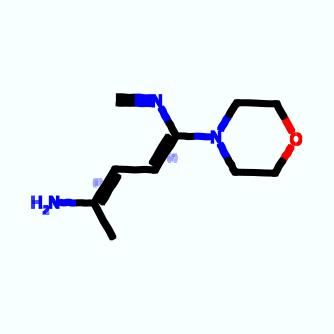 C=N/C(=C\C=C(/C)N)N1CCOCC1